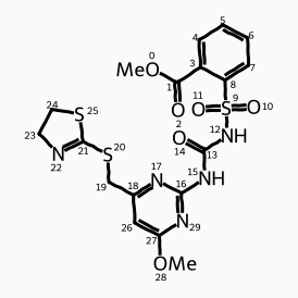 COC(=O)c1ccccc1S(=O)(=O)NC(=O)Nc1nc(CSC2=NCCS2)cc(OC)n1